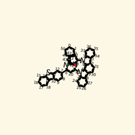 c1ccc(-c2nc(-c3ccc4c(c3)sc3ccccc34)cc(-n3c4ccccc4c4ccc5c6ccccc6n(-c6ccccc6)c5c43)n2)cc1